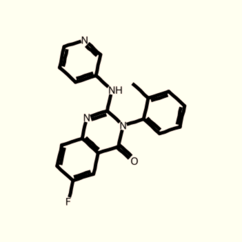 Cc1ccccc1-n1c(Nc2cccnc2)nc2ccc(F)cc2c1=O